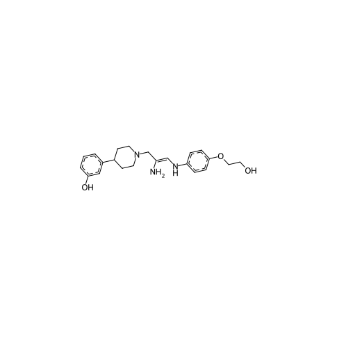 N/C(=C\Nc1ccc(OCCO)cc1)CN1CCC(c2cccc(O)c2)CC1